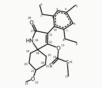 CCc1cc(C)cc(CC)c1C1=C(OC(=S)SC)C2(CCC(OC)CC2)NC1=O